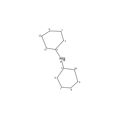 C1CC[CH]([Hg][CH]2CCCCC2)CC1